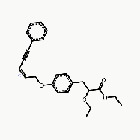 CCOC(=O)C(Cc1ccc(OC/C=C\C#Cc2ccccc2)cc1)OCC